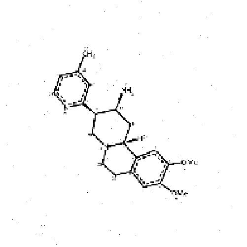 COc1cc2c(cc1OC)[C@H]1C[C@H](N)[C@H](c3cc(C)ccn3)CN1CC2